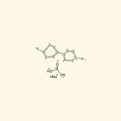 Fc1ccc(-c2ccc(F)cc2)cc1.O=C(O)O.[NaH]